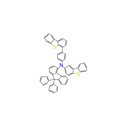 c1ccc(C2(c3ccccc3)c3ccccc3-c3c(N(c4ccc(-c5cccc6c5sc5ccccc56)cc4)c4ccc5sc6ccccc6c5c4)cccc32)cc1